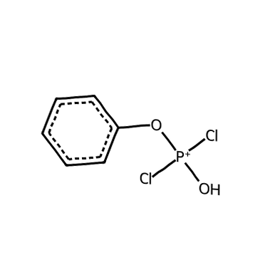 O[P+](Cl)(Cl)Oc1ccccc1